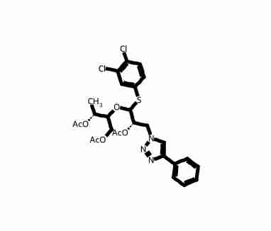 CC(=O)OCC(OC(Sc1ccc(Cl)c(Cl)c1)[C@H](Cn1cc(-c2ccccc2)nn1)OC(C)=O)[C@@H](C)OC(C)=O